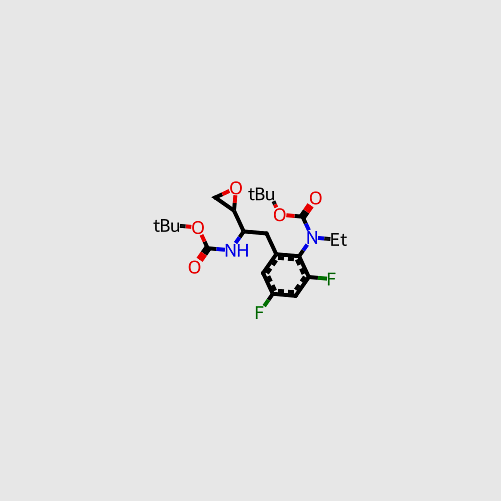 CCN(C(=O)OC(C)(C)C)c1c(F)cc(F)cc1CC(NC(=O)OC(C)(C)C)C1CO1